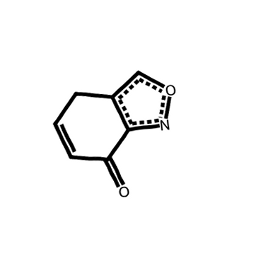 O=C1C=CCc2conc21